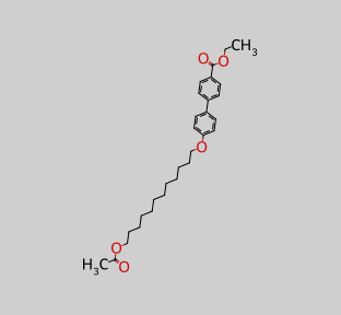 CCOC(=O)c1ccc(-c2ccc(OCCCCCCCCCCCCOC(C)=O)cc2)cc1